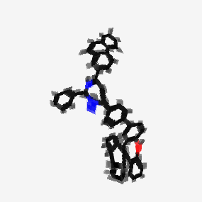 C1=C(c2ccc(-c3ccc4c(c3)C3(c5ccccc5O4)c4ccccc4-c4ccccc43)cc2)NC(c2ccccc2)N=C1c1ccc2c(ccc3ccccc32)c1